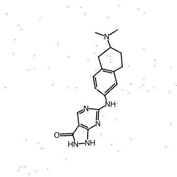 CN(C)C1CCc2cc(Nc3ncc4c(=O)[nH][nH]c4n3)ccc2C1